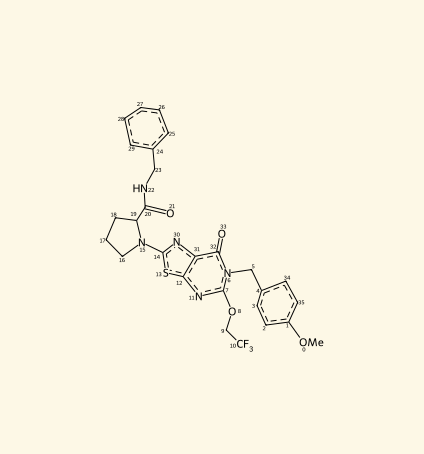 COc1ccc(Cn2c(OCC(F)(F)F)nc3sc(N4CCCC4C(=O)NCc4ccccc4)nc3c2=O)cc1